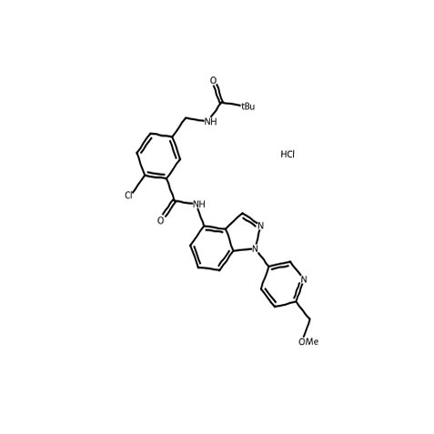 COCc1ccc(-n2ncc3c(NC(=O)c4cc(CNC(=O)C(C)(C)C)ccc4Cl)cccc32)cn1.Cl